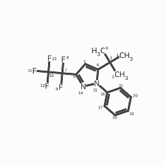 CC(C)(C)c1cc(C(F)(F)C(F)(F)F)nn1-c1ccccc1